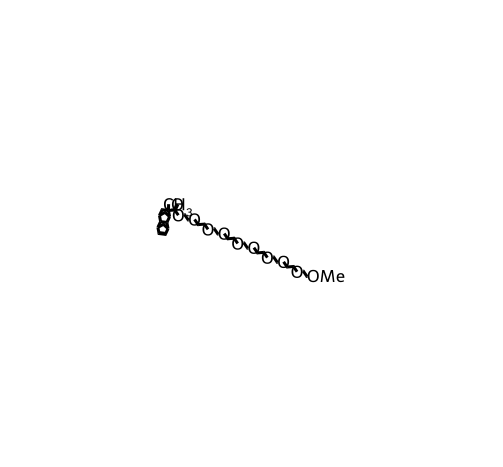 COCCOCCOCCOCCOCCOCCOCCOCCOCCOC(=O)C1(C)CC2CC1C1C3C=CC(C3)C21